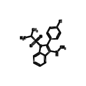 CNc1c(-c2ccc(Cl)cc2)n(S(=O)(=O)C(C)C)c2ccccc12